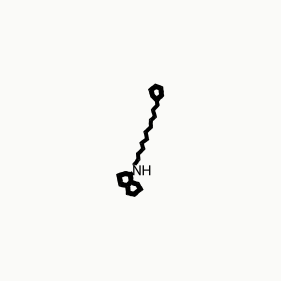 c1ccc(CCCCCCCCCCCCNc2cccc3ccccc23)cc1